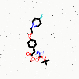 COC(=O)[C@@H](NC(=O)OC(C)(C)C)c1ccc(OCCN2CCC(F)CC2)cc1